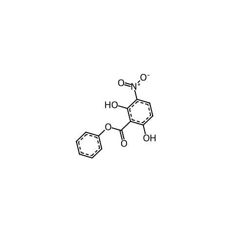 O=C(Oc1ccccc1)c1c(O)ccc([N+](=O)[O-])c1O